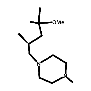 COC(C)(C)C[C@H](C)CN1CCN(C)CC1